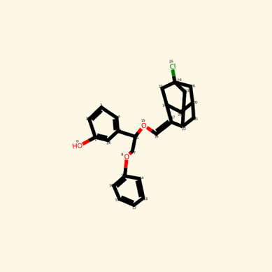 Oc1cccc(C(COc2ccccc2)OC=C2C3CC4CC2CC(Cl)(C4)C3)c1